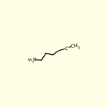 CC[CH]CCCN